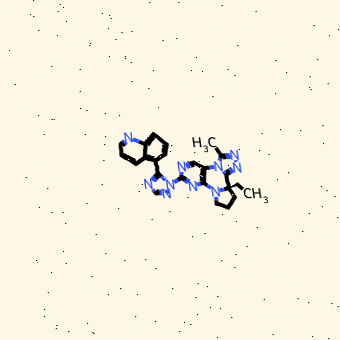 CC[C@@]12CCCN1c1nc(-n3ncnc3-c3cccc4ncccc34)ncc1-n1c(C)nnc12